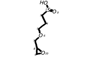 O=S(O)CCCOCC1CO1